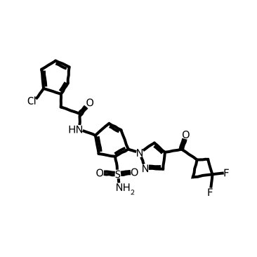 NS(=O)(=O)c1cc(NC(=O)Cc2ccccc2Cl)ccc1-n1cc(C(=O)C2CC(F)(F)C2)cn1